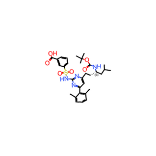 Cc1cccc(C)c1-c1cc(CC[C@@H](CC(C)C)NC(=O)OC(C)(C)C)nc(NS(=O)(=O)c2cccc(C(=O)O)c2)n1